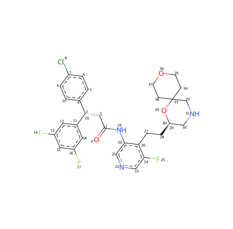 O=C([CH][C@@H](c1ccc(Cl)cc1)c1cc(F)cc(F)c1)Nc1cncc(F)c1CC[C@@H]1CNCC2(CCOCC2)O1